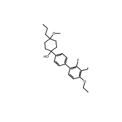 CCCC1(OC)CCC(O)(c2ccc(-c3ccc(OCC)c(F)c3F)cc2)CC1